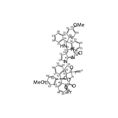 C#C[C@]1(COC(=O)OC(C)C)O[C@@H](n2ccc3c(NC(c4ccccc4)(c4ccccc4)c4ccc(OC)cc4)nc(Cl)nc32)C[C@@H]1OC(c1ccccc1)(c1ccccc1)c1ccc(OC)cc1